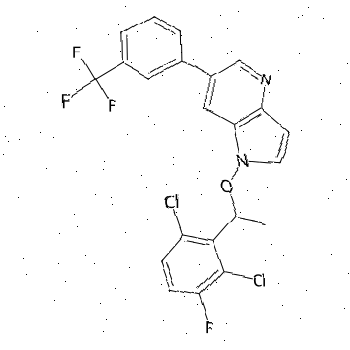 CC(On1ccc2ncc(-c3cccc(C(F)(F)F)c3)cc21)c1c(Cl)ccc(F)c1Cl